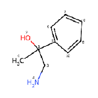 CC(O)(CN)c1cc[c]cc1